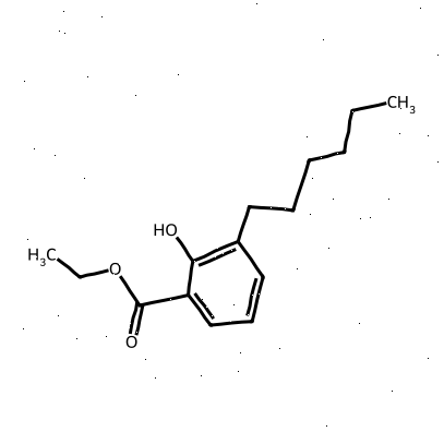 CCCCCCc1cccc(C(=O)OCC)c1O